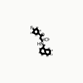 Cl.O=C(CCNCc1cccc2ccccc12)c1ccc(F)cc1